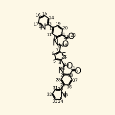 O=c1oc(-c2ccc(-c3nc4cc(-c5ccccn5)ccc4c(=O)o3)s2)nc2cc(-c3ccccn3)ccc12